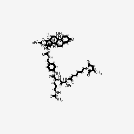 CCCC1O[C@@H]2C[C@H]3[C@@H]4CCC5=CC(=O)C=C[C@]5(C)[C@H]4[C@@H](O)C[C@]3(C)[C@]2(C(=O)COC(=O)NCc2ccc(NC(=O)[C@H](CCCNC(N)=O)NC(=O)[C@@H](NC(=O)CCCCCN3C(=O)C=C(C)C3=O)C(C)C)cc2)O1